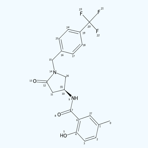 Cc1ccc(O)c(C(=O)N[C@H]2CC(=O)N(Cc3ccc(C(F)(F)F)cc3)C2)c1